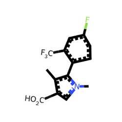 Cc1c(C(=O)O)cn(C)c1-c1ccc(F)cc1C(F)(F)F